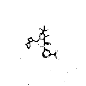 Cc1c(C(C)(F)F)nn(CC2CCC23CCC3)c1C(=O)Nc1ccnc(C(N)=O)c1